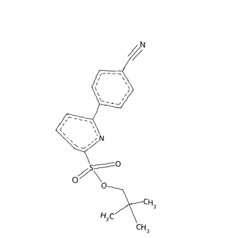 CC(C)(C)COS(=O)(=O)c1cccc(-c2ccc(C#N)cc2)n1